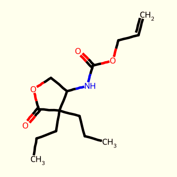 C=CCOC(=O)NC1COC(=O)C1(CCC)CCC